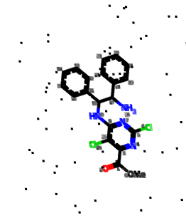 COC(=O)c1nc(Cl)nc(NC(c2ccccc2)C(N)c2ccccc2)c1Cl